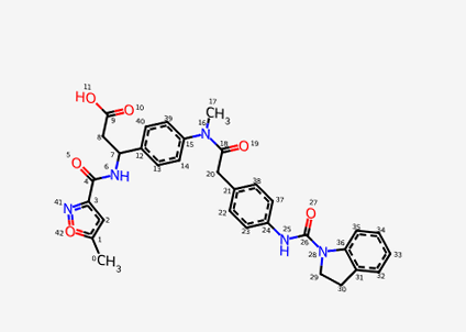 Cc1cc(C(=O)NC(CC(=O)O)c2ccc(N(C)C(=O)Cc3ccc(NC(=O)N4CCc5ccccc54)cc3)cc2)no1